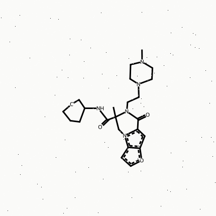 CN1CCN(CCN2C(=O)c3cc4occc4n3CC2(C)C(=O)NC2CCCCC2)CC1